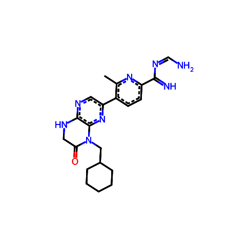 Cc1nc(C(=N)/N=C\N)ccc1-c1cnc2c(n1)N(CC1CCCCC1)C(=O)CN2